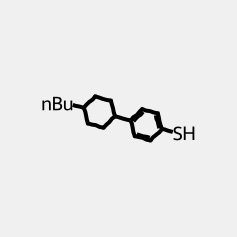 CCCCC1CCC(c2ccc(S)cc2)CC1